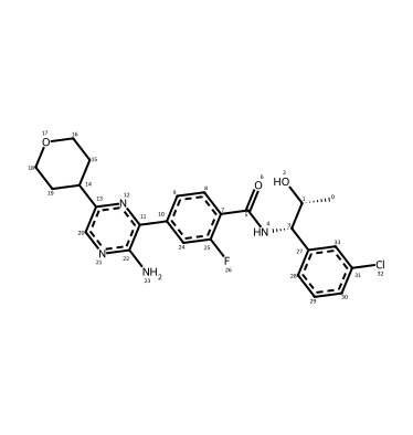 C[C@@H](O)[C@@H](NC(=O)c1ccc(-c2nc(C3CCOCC3)cnc2N)cc1F)c1cccc(Cl)c1